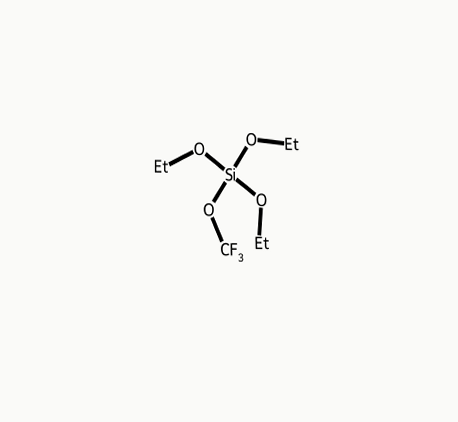 CCO[Si](OCC)(OCC)OC(F)(F)F